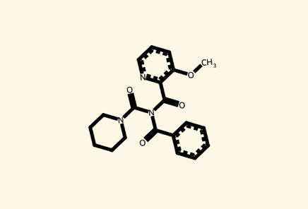 COc1cccnc1C(=O)N(C(=O)c1ccccc1)C(=O)N1CCCCC1